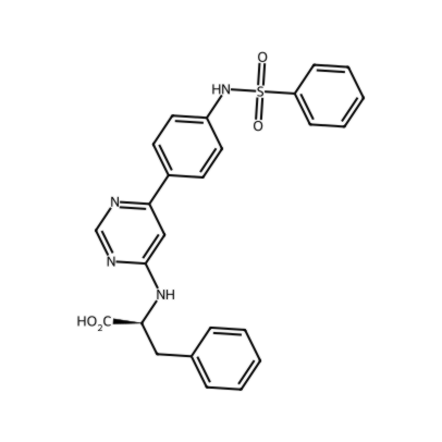 O=C(O)[C@H](Cc1ccccc1)Nc1cc(-c2ccc(NS(=O)(=O)c3ccccc3)cc2)ncn1